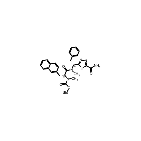 CN(C(=O)OC(C)(C)C)[C@H](Cc1ccc2ccccc2c1)C(=O)N(C)[C@H](Cc1ccccc1)c1nnc(C(N)=O)o1